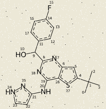 CC(C)(C)c1cc2nc(C(O)c3ccc(F)cc3)nc(Nc3cc[nH]n3)c2s1